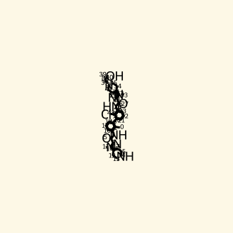 Cc1c(NC(=O)c2nc3c(n2C)CCNC3)cccc1-c1cccc(NC(=O)c2nc3c(n2C)CCN(C[C@H](C)O)C3)c1Cl